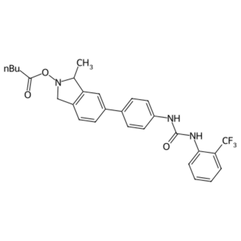 CCCCC(=O)ON1Cc2ccc(-c3ccc(NC(=O)Nc4ccccc4C(F)(F)F)cc3)cc2C1C